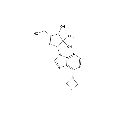 CC1(O)C(O)C(CO)OC1n1cnc2c(N3CCC3)ncnc21